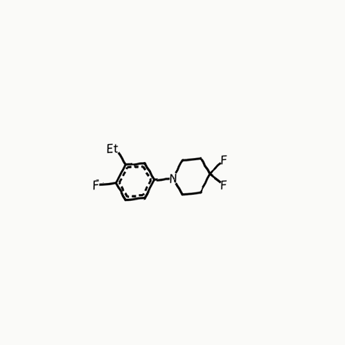 CCc1cc(N2CCC(F)(F)CC2)ccc1F